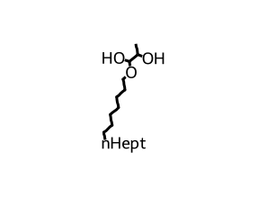 CCCCCCCCCCCCCCOC(O)C(C)O